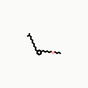 CCCCOCCCCCc1cccc(CCCCCCCCC(C)C)c1